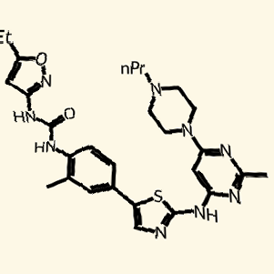 CCCN1CCN(c2cc(Nc3ncc(-c4ccc(NC(=O)Nc5cc(CC)on5)c(C)c4)s3)nc(C)n2)CC1